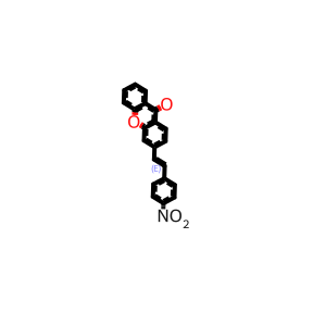 O=c1c2ccccc2oc2cc(/C=C/c3ccc([N+](=O)[O-])cc3)ccc12